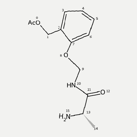 CC(=O)OCc1ccccc1OCNC(=O)[C@H](C)N